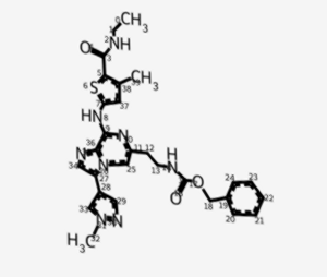 CCNC(=O)c1sc(Nc2nc(CCNC(=O)OCc3ccccc3)cn3c(-c4cnn(C)c4)cnc23)cc1C